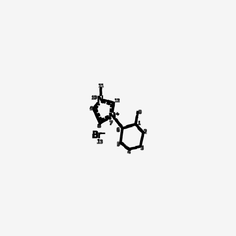 CC1CCCCC1[n+]1ccn(C)c1.[Br-]